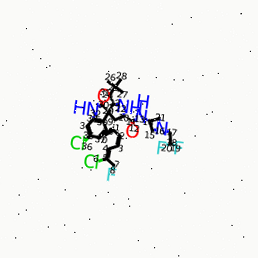 C=C(/C=C\C=C(\Cl)CF)[C@H]1[C@H](C(=O)NC2CN(CC(F)F)C2)N[C@H](CC(C)(C)C)[C@]12C(=O)Nc1cc(Cl)ccc12